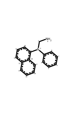 NCN(c1ccccc1)c1cc[c]c2ccccc12